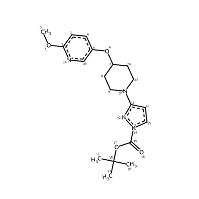 COc1ccc(OC2CCN(c3ccn(C(=O)OC(C)(C)C)n3)CC2)cn1